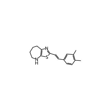 Cc1ccc(/C=C/c2nc3c(s2)NCCCC3)cc1C